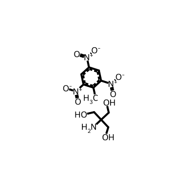 Cc1c([N+](=O)[O-])cc([N+](=O)[O-])cc1[N+](=O)[O-].NC(CO)(CO)CO